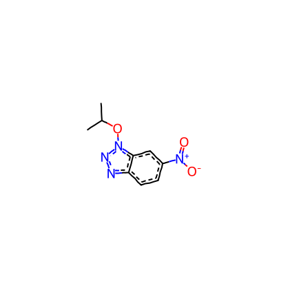 CC(C)On1nnc2ccc([N+](=O)[O-])cc21